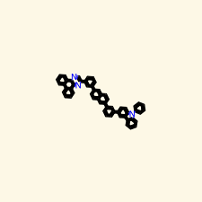 C1=c2ccc(-c3cccc(-c4ccc5c(c4)c4ccccc4n5-c4ccccc4)c3)cc2=CCC1c1cccc(-c2cnc3c4ccccc4c4ccccc4c3n2)c1